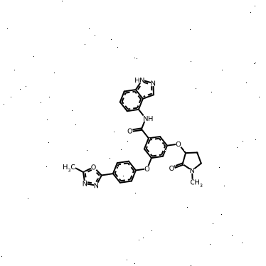 Cc1nnc(-c2ccc(Oc3cc(OC4CCN(C)C4=O)cc(C(=O)Nc4cccc5[nH]ncc45)c3)cc2)o1